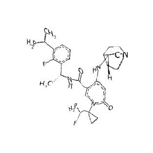 CC(P)c1cccc([C@@H](C)NC(=O)c2cn(C3(C(F)P)CC3)c(=O)cc2N[C@H]2CN3CCC2CC3)c1F